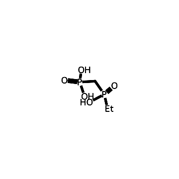 CCP(=O)(O)CP(=O)(O)O